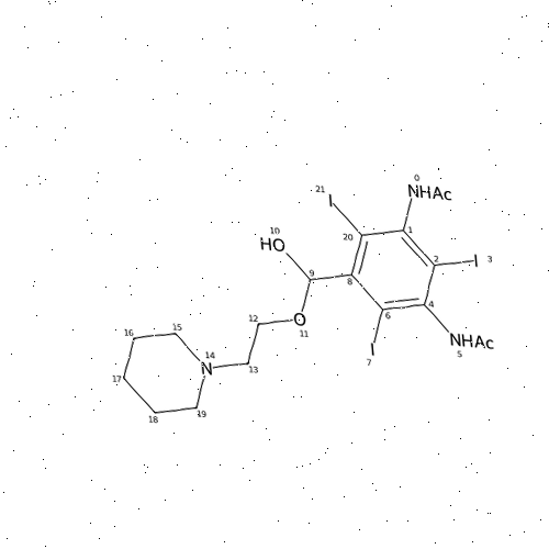 CC(=O)Nc1c(I)c(NC(C)=O)c(I)c(C(O)OCCN2CCCCC2)c1I